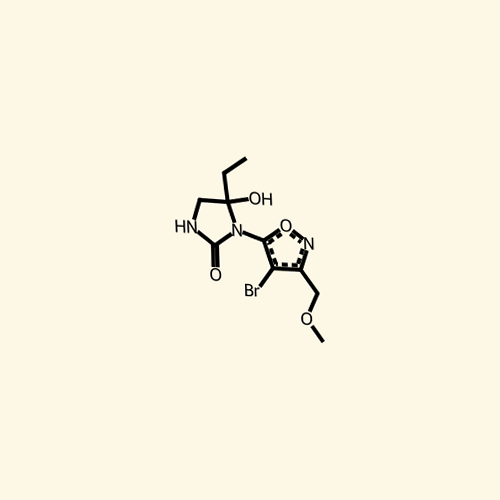 CCC1(O)CNC(=O)N1c1onc(COC)c1Br